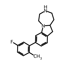 Cc1ccc(F)cc1-c1ccc2c(c1)N1CCNCCC1C2